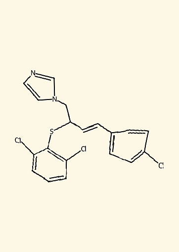 Clc1ccc(/C=C/C(Cn2ccnc2)Sc2c(Cl)cccc2Cl)cc1